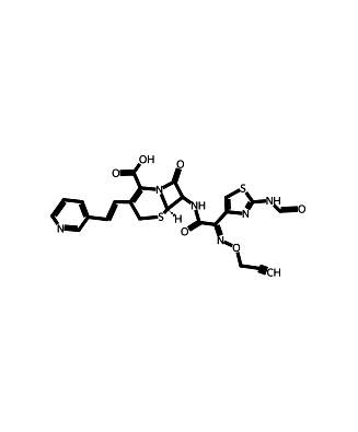 C#CCO/N=C(/C(=O)NC1C(=O)N2C(C(=O)O)=C(/C=C/c3cccnc3)CS[C@H]12)c1csc(NC=O)n1